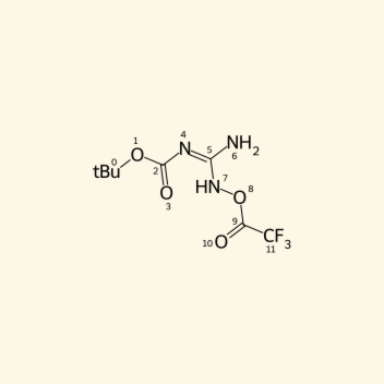 CC(C)(C)OC(=O)N=C(N)NOC(=O)C(F)(F)F